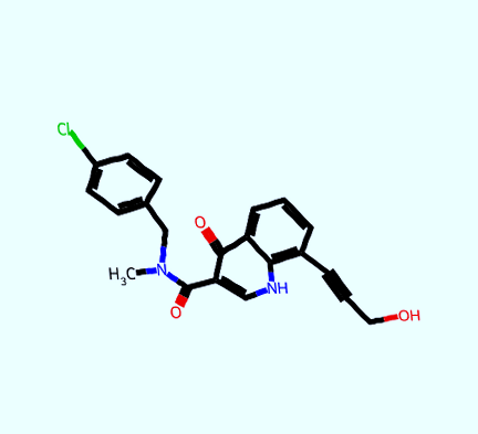 CN(Cc1ccc(Cl)cc1)C(=O)c1c[nH]c2c(C#CCO)cccc2c1=O